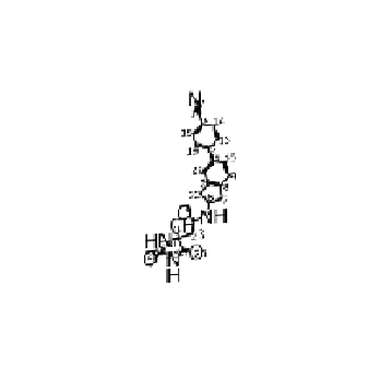 CC1(CC(=O)NC2Cc3ccc(-c4ccc(C#N)cc4)cc3C2)NC(=O)NC1=O